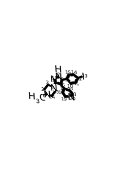 CN1CCN(c2n[nH]c(-c3ccc(I)cc3)c2-c2ccncc2)CC1